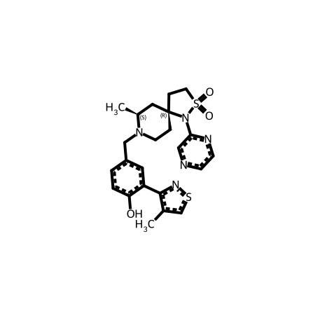 Cc1csnc1-c1cc(CN2CC[C@]3(CCS(=O)(=O)N3c3cnccn3)C[C@@H]2C)ccc1O